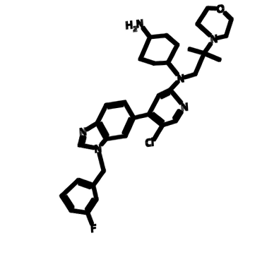 CC(C)(CN(c1cc(-c2ccc3ncn(Cc4cccc(F)c4)c3c2)c(Cl)cn1)C1CCC(N)CC1)N1CCOCC1